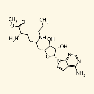 CCCN[C@@H](CC[C@H](N)C(=O)OC)C[C@H]1O[C@@H](n2ccc3c(N)ncnc32)[C@@H](O)C1O